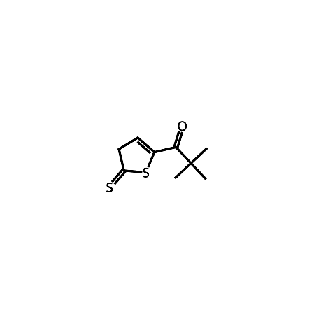 CC(C)(C)C(=O)C1=CCC(=S)S1